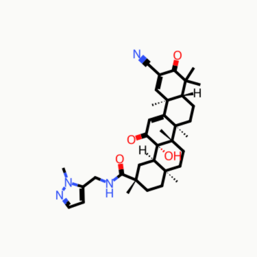 Cn1nccc1CNC(=O)[C@@]1(C)CC[C@]2(C)CC[C@@]3(C)[C@]4(C)CC[C@H]5C(C)(C)C(=O)C(C#N)=C[C@]5(C)C4=CC(=O)[C@]3(O)[C@@H]2C1